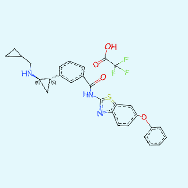 O=C(Nc1nc2ccc(Oc3ccccc3)cc2s1)c1cccc([C@@H]2C[C@H]2NCC2CC2)c1.O=C(O)C(F)(F)F